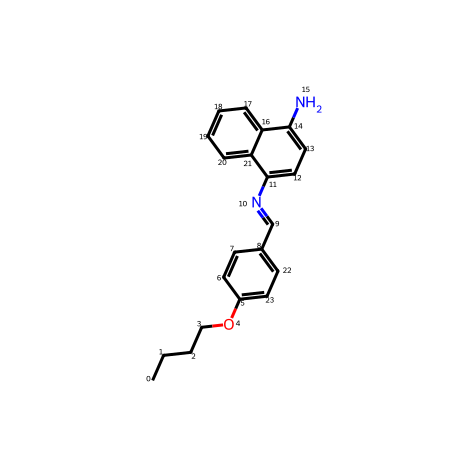 CCCCOc1ccc(/C=N/c2ccc(N)c3ccccc23)cc1